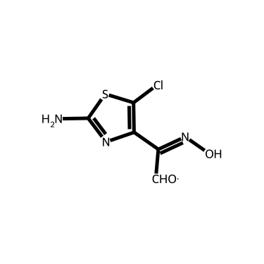 Nc1nc(/C([C]=O)=N/O)c(Cl)s1